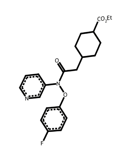 CCOC(=O)C1CCC(CC(=O)N(Oc2ccc(F)cc2)c2cccnc2)CC1